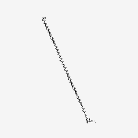 CCS(=S)(=S)SSSSSSSSSSSSSSSSSSSSSSSSSSSSSSSSSSSSSSSSSSSSSSSSSSSSSSSSSSSSSSSSSSSSSS